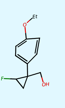 CCOc1ccc(C2(CO)CC2F)cc1